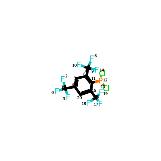 FC(F)(F)c1cc(C(F)(F)F)c(P(Cl)Cl)c(C(F)(F)F)c1